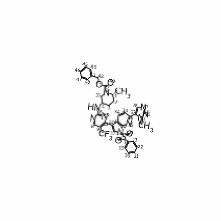 C[C@@H]1CC[C@@H](Nc2ncc(C(F)(F)F)c(-c3cn(S(=O)(=O)c4ccccc4)c4nc(-c5cnnn5C)ccc34)n2)CN1C(=O)OCc1ccccc1